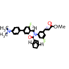 [2H][C@H](c1ccc(-c2ccc(N(C)C)cc2)cc1F)N(C(=O)[C@H]1C[C@@H]2CC[C@H]1C2)c1cc(F)cc(/C=C/C(=O)OC)c1